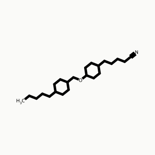 CCCCCC1CCC(COC2CCC(CCCCC#N)CC2)CC1